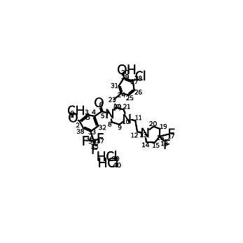 COc1cc(C(=O)N2CCN(CCN3CCC(F)(F)CC3)C[C@H]2Cc2ccc(Cl)c(O)c2)cc(C(F)(F)F)c1.Cl.Cl